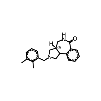 Cc1cccc(CN2CC3c4ccccc4C(=O)NC[C@H]3C2)c1C